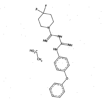 CC(=O)O.N=C(NC(=N)N1CCC(F)(F)CC1)Nc1ccc(Oc2ccccc2)cc1